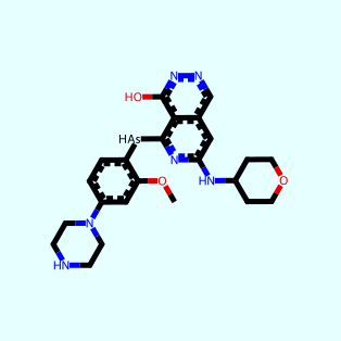 COc1cc(N2CCNCC2)ccc1[AsH]c1nc(NC2CCOCC2)cc2cnnc(O)c12